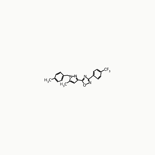 Cc1ccc(Cn2nc(-c3nc(-c4ccc(C(F)(F)F)cc4)no3)cc2C)cc1